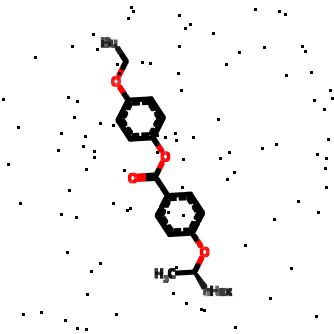 CCCCCC[C@@H](C)Oc1ccc(C(=O)Oc2ccc(OCC(C)CC)cc2)cc1